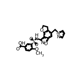 COc1ccc(C(=O)O)cc1S(=O)(=O)Nc1noc2cc(Cn3cccn3)c3c(c12)OCC3